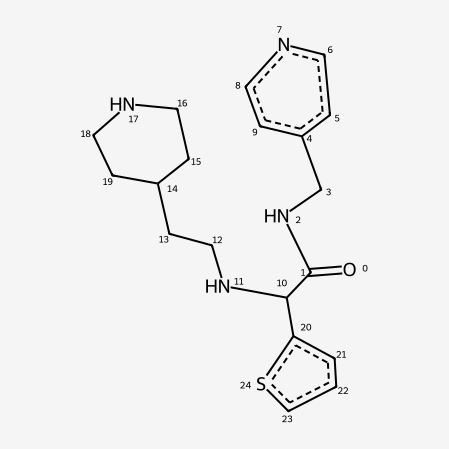 O=C(NCc1ccncc1)C(NCCC1CCNCC1)c1cccs1